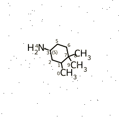 CC1C[C@@H](N)CCC1(C)C